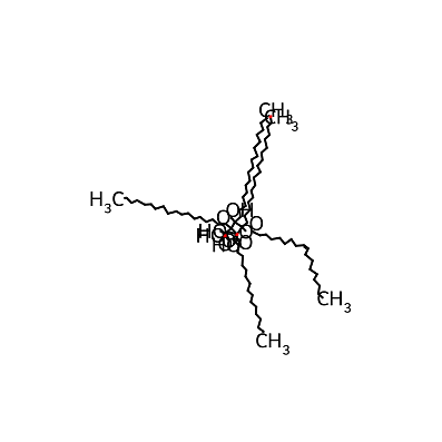 CCCCCCCC/C=C\CCCCCCCC(=O)OC(CCCCCCCCCCCCCCCCCC)(C(CC(=O)O)C(=O)O)C(CCCCCCCCCCCCCCCCCC)(C(=O)O)C(CCCCCCCCCCCCCCCCCC)(CCCCCCCCCCCCCCCCCC)C(=O)O